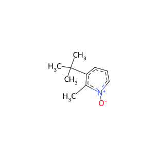 Cc1c(C(C)(C)C)ccc[n+]1[O-]